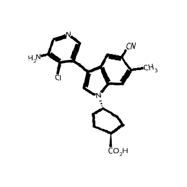 Cc1cc2c(cc1C#N)c(-c1cncc(N)c1Cl)cn2[C@H]1CC[C@H](C(=O)O)CC1